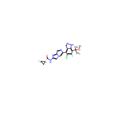 CCOC(C)(C)c1c(F)c(Cl)c(-c2cn3cc(NC(=O)[C@@H]4C[C@@H]4F)nc3cn2)c2cn[nH]c12